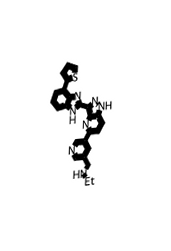 CCNCc1cncc(-c2ccc3[nH]nc(-c4nc5c(-c6cccs6)cccc5[nH]4)c3n2)c1